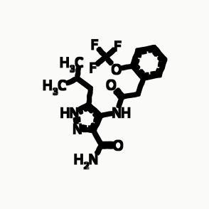 CC(C)Cc1[nH]nc(C(N)=O)c1NC(=O)Cc1ccccc1OC(F)(F)F